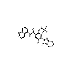 CC(Oc1cc(-n2nc3n(c2=O)CCCC3)c(F)cc1C(=O)Nc1cccc2ncccc12)C(F)(F)F